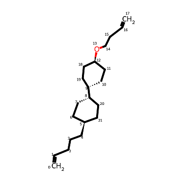 C=CCCC[C@H]1CC[C@H]([C@H]2CC[C@H](OCCC=C)CC2)CC1